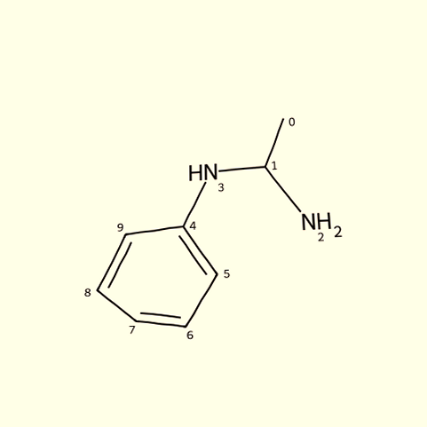 CC(N)Nc1ccccc1